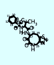 CC(C)C(NS(=O)(=O)c1ccccc1)C(=O)NC1CCc2snnc2CNC(=O)C1=O